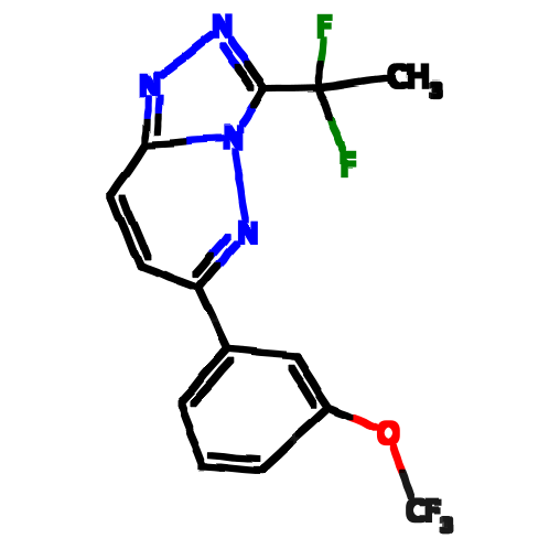 CC(F)(F)c1nnc2ccc(-c3cccc(OC(F)(F)F)c3)nn12